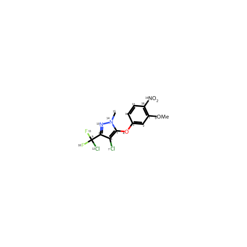 COc1cc(Oc2c(Cl)c(C(F)(F)Cl)nn2C)ccc1[N+](=O)[O-]